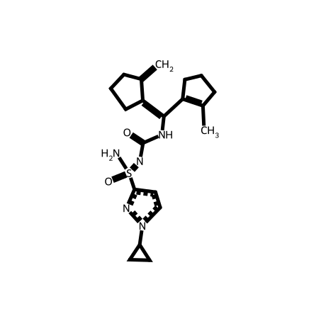 C=C1CCC/C1=C(\NC(=O)N=S(N)(=O)c1ccn(C2CC2)n1)C1=C(C)CCC1